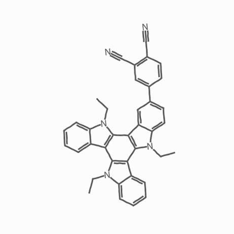 CCn1c2ccccc2c2c1c1c3ccccc3n(CC)c1c1c3cc(-c4ccc(C#N)c(C#N)c4)ccc3n(CC)c21